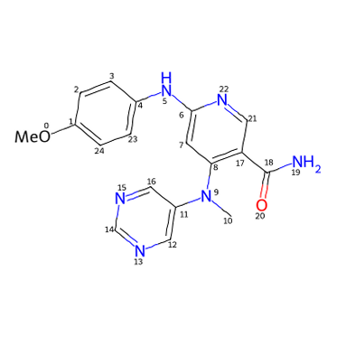 COc1ccc(Nc2cc(N(C)c3cncnc3)c(C(N)=O)cn2)cc1